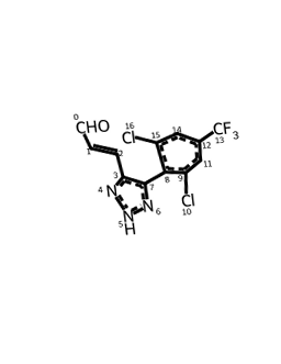 O=CC=Cc1n[nH]nc1-c1c(Cl)cc(C(F)(F)F)cc1Cl